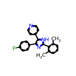 Cc1cccc(C)c1-c1nc(-c2ccc(F)cc2)c(-c2ccncc2)[nH]1